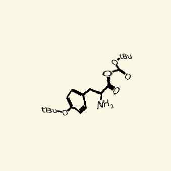 CC(C)(C)OC(=O)OC(=O)[C@@H](N)Cc1ccc(OC(C)(C)C)cc1